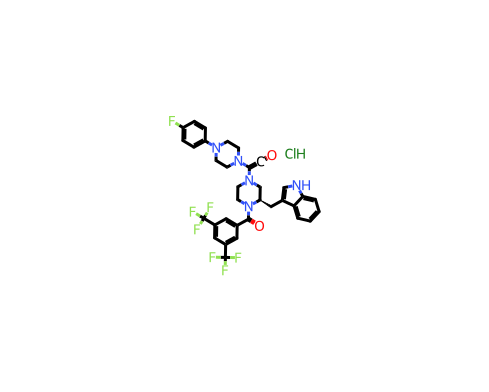 Cl.O=C=C(N1CCN(c2ccc(F)cc2)CC1)N1CCN(C(=O)c2cc(C(F)(F)F)cc(C(F)(F)F)c2)[C@H](Cc2c[nH]c3ccccc23)C1